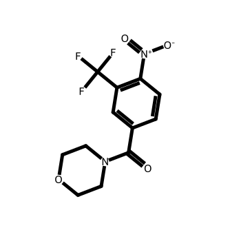 O=C(c1ccc([N+](=O)[O-])c(C(F)(F)F)c1)N1CCOCC1